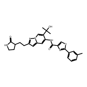 Cc1cccc(-c2nc(C(=O)Nc3cc4cc(CCC5CCNC5=O)nn4cc3C(C)(C)O)co2)c1